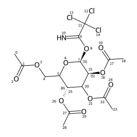 CC(=O)OCC1O[C@@H](OC(=N)C(Cl)(Cl)Cl)[C@@H](OC(C)=O)C(OC(C)=O)[C@@H]1OC(C)=O